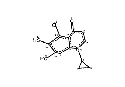 O=c1[c]cn(C2CC2)c2cc(O)c(O)c(Cl)c12